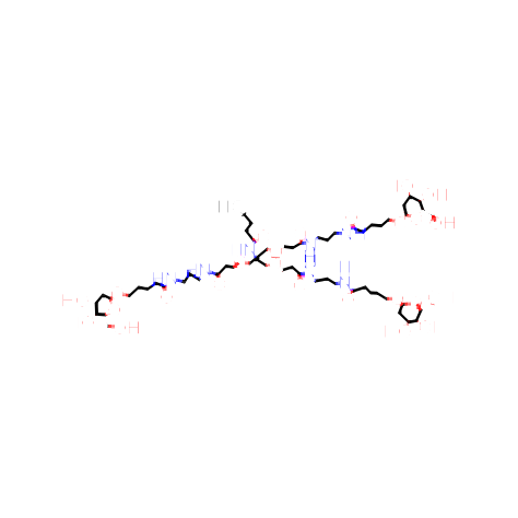 C#CCCC(=O)NC(COCCC(=O)NCCCNC(=O)CCCCO[C@H]1C[C@@H](O)[C@@H](O)[C@@H](CO)O1)(COCCC(=O)NCCCNC(=O)CCCCO[C@H]1C[C@@H](O)[C@@H](O)[C@@H](CO)O1)COCCC(=O)NCCCNC(=O)CCCCO[C@H]1C[C@@H](O)[C@@H](O)[C@@H](CO)O1